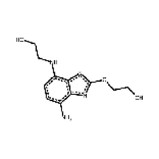 Nc1ccc(NCCO)c2sc(OCCO)nc12